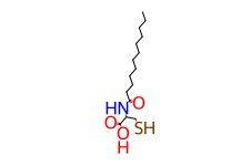 CCCCCCCCCCCC(=O)NC(CS)C(=O)O